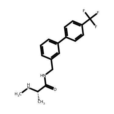 CN[C@@H](C)C(=O)NCc1cccc(-c2ccc(C(F)(F)F)cc2)c1